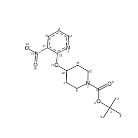 CC(C)(C)OC(=O)N1CCC(Oc2ncccc2[N+](=O)[O-])CC1